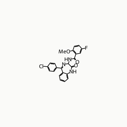 COc1ccc(F)cc1C(=O)NC1N=C(c2ccc(Cl)cc2)c2ccccc2NC1=O